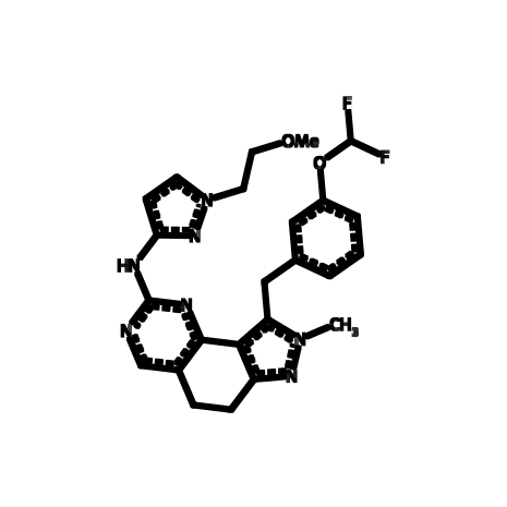 COCCn1ccc(Nc2ncc3c(n2)-c2c(nn(C)c2Cc2cccc(OC(F)F)c2)CC3)n1